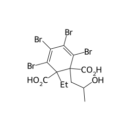 CCC1(C(=O)O)C(Br)=C(Br)C(Br)=C(Br)C1(CC(C)O)C(=O)O